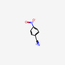 [15N]#Cc1ccc([N+](=O)[O-])cc1